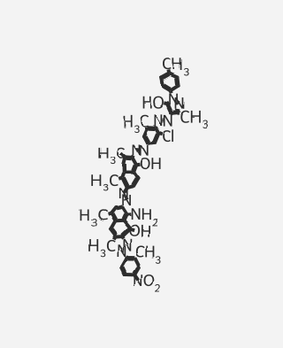 Cc1ccc(-n2nc(C)c(/N=N/c3c(C)cc(/N=N/c4c(C)cc5c(C)c(/N=N/c6cc(C)c7cc(C)c(/N=N/c8ccc([N+](=O)[O-])cc8C)c(O)c7c6N)ccc5c4O)cc3Cl)c2O)cc1